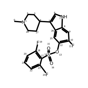 CN1CCC(c2c[nH]c3cc(F)c(OS(=O)(=O)c4c(F)cccc4F)cc23)CC1